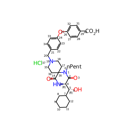 CCCCCN1C(=O)[C@@H]([C@H](O)C2CCCCC2)NC(=O)C12CCN(Cc1ccc(Oc3ccc(C(=O)O)cc3)cc1)CC2.Cl